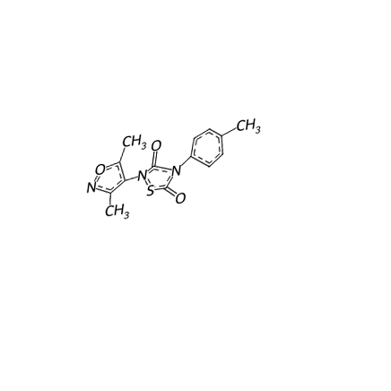 Cc1ccc(-n2c(=O)sn(-c3c(C)noc3C)c2=O)cc1